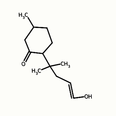 CC1CCC(C(C)(C)CC=CO)C(=O)C1